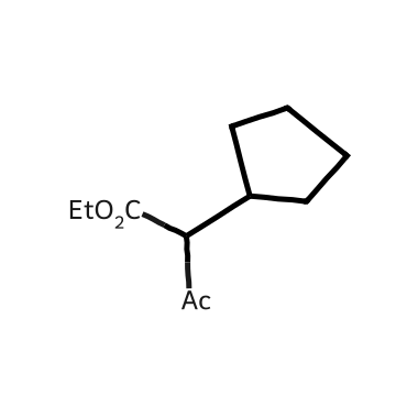 CCOC(=O)C(C(C)=O)C1CCCC1